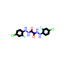 O=C(NNc1ccc(Cl)cc1F)C(=O)NNc1ccc(Cl)cc1F